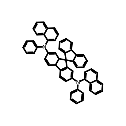 C1=CC2c3ccc(N(c4ccccc4)c4cccc5ccccc45)cc3C3(c4ccccc4-c4ccccc43)C2C=C1N(c1ccccc1)c1cccc2ccccc12